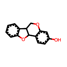 Oc1ccc2c(c1)OCC1c3ccccc3OC21